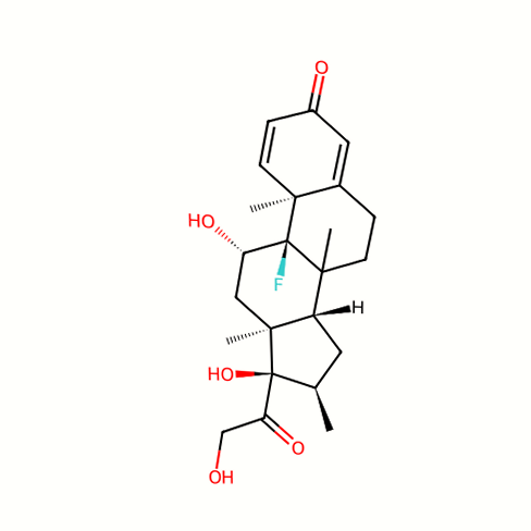 C[C@@H]1C[C@H]2C3(C)CCC4=CC(=O)C=C[C@]4(C)[C@@]3(F)[C@@H](O)C[C@]2(C)[C@@]1(O)C(=O)CO